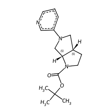 CC(C)(C)OC(=O)N1CC[C@H]2CN(c3cccnc3)C[C@H]21